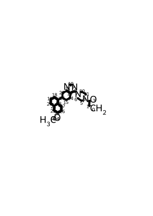 C=CC(=O)N1CCN(c2ncnc3c2CCC(c2cccc4cc(OC)ccc24)C3)CC1